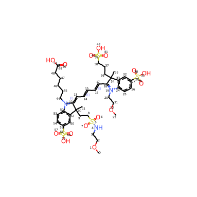 COCCNS(=O)(=O)CCC1(C)\C(=C/C=C/C=C/C2=[N+](CCOC)c3ccc(S(=O)(=O)O)cc3C2(C)CCCS(=O)(=O)O)N(CCCCCC(=O)O)c2ccc(S(=O)(=O)O)cc21